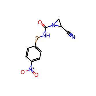 N#CC1CN1C(=O)NSc1ccc([N+](=O)[O-])cc1